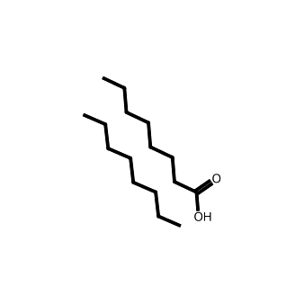 CCCCCCCC.CCCCCCCC(=O)O